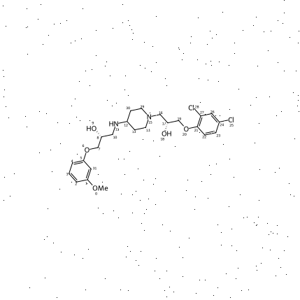 COc1cccc(OC[C@H](O)CNC2CCN(C[C@@H](O)COc3ccc(Cl)cc3Cl)CC2)c1